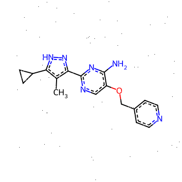 Cc1c(-c2ncc(OCc3ccncc3)c(N)n2)n[nH]c1C1CC1